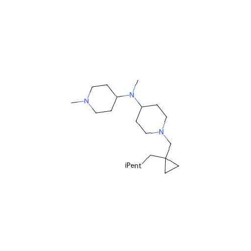 CCCC(C)CC1(CN2CCC(N(C)C3CCN(C)CC3)CC2)CC1